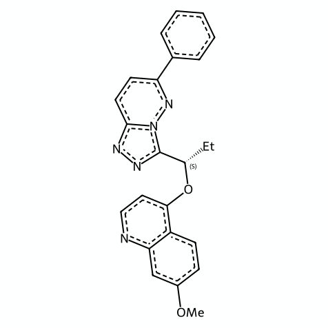 CC[C@H](Oc1ccnc2cc(OC)ccc12)c1nnc2ccc(-c3ccccc3)nn12